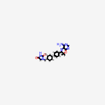 CC1(C)Oc2ncnc(N)c2N=C1c1ccc([C@H]2CC[C@H](CN3CC(=O)NC3=O)CC2)cc1